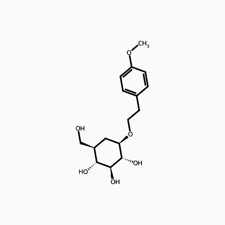 COc1ccc(CCO[C@@H]2C[C@H](CO)[C@@H](O)[C@H](O)[C@H]2O)cc1